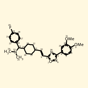 COc1ccc(-c2noc(C=CC3CCC(C(c4ccc(F)cc4)N(C)C)CC3)n2)cc1OC